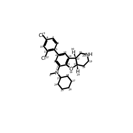 CN(c1cc(-c2ccc(Cl)cc2Cl)cc2c1O[C@H]1CCNC[C@@H]21)C1CCCCC1